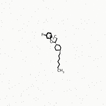 CCCCCCC[C@H]1CC[C@H](C(CC)Oc2cccc(F)c2)CC1